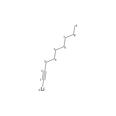 [Li][C]#CCCCCCCC